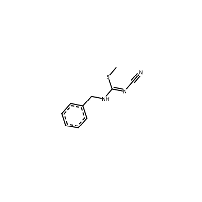 CSC(=NC#N)NCc1ccccc1